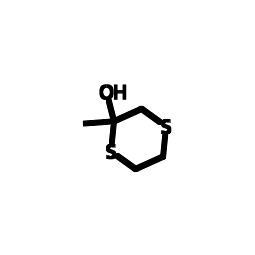 CC1(O)CSCCS1